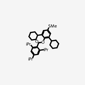 CSc1cc(C2CCCCC2)c(OC(=O)c2c(C(C)C)cc(C(C)C)cc2C(C)C)c(C2CCCCC2)c1